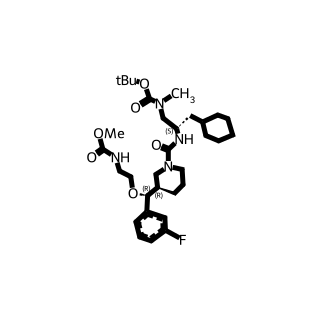 COC(=O)NCCO[C@@H](c1cccc(F)c1)[C@@H]1CCCN(C(=O)N[C@@H](CC2CCCCC2)CN(C)C(=O)OC(C)(C)C)C1